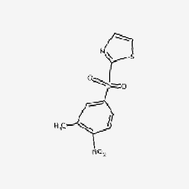 Cc1cc(S(=O)(=O)c2nccs2)ccc1[N+](=O)[O-]